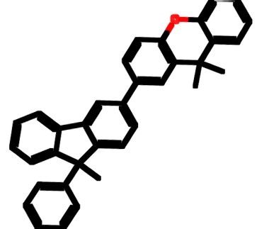 CC1(C)c2ccccc2Oc2ccc(-c3ccc4c(c3)-c3ccccc3C4(C)c3ccccc3)cc21